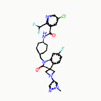 Cn1cc(N2CC3(C2)C(=O)N(CC2CCC(NC(=O)c4cc(Cl)cnc4C(F)F)CC2)c2cc(F)ccc23)cn1